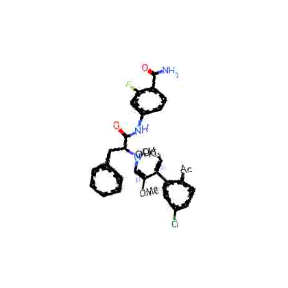 COC(=C/N(C)C(Cc1ccccc1)C(=O)Nc1ccc(C(N)=O)c(F)c1)/C(=C\C=O)c1cc(Cl)ccc1C(C)=O